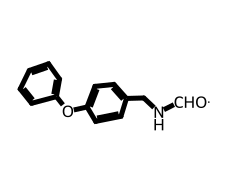 O=[C]NCc1ccc(Oc2ccccc2)cc1